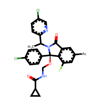 CC(=O)c1cc(F)c2c(c1)C(=O)N(C(C)c1ccc(Cl)cn1)[C@@]2(OCNC(=O)C1CC1)c1ccc(Cl)cc1